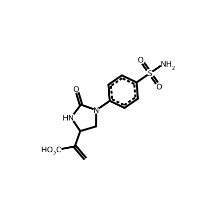 C=C(C(=O)O)C1CN(c2ccc(S(N)(=O)=O)cc2)C(=O)N1